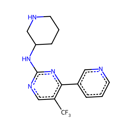 FC(F)(F)c1cnc(NC2CCCNC2)nc1-c1cccnc1